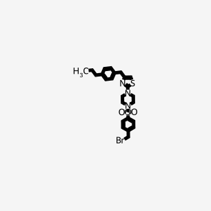 CCCc1ccc(Cc2csc(N3CCN(S(=O)(=O)c4ccc(CBr)cc4)CC3)n2)cc1